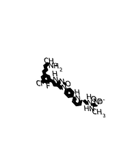 CN/C(=C/[N+](=O)[O-])NCC[C@@H]1CCC[C@@H](c2ccc(-n3cc4cc(-c5cc(CCC[C@H](C)N)cc(Cl)c5F)[nH]c4nc3=O)cc2)N1